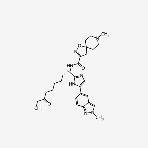 CCC(=O)CCCCC[C@H](NC(=O)C1=NOC2(CCN(C)CC2)C1)c1ncc(-c2ccc3nn(C)cc3c2)[nH]1